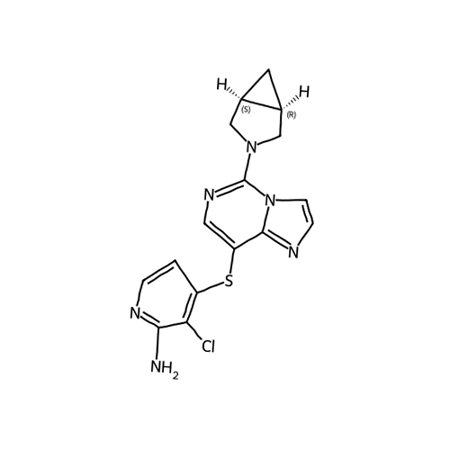 Nc1nccc(Sc2cnc(N3C[C@H]4C[C@H]4C3)n3ccnc23)c1Cl